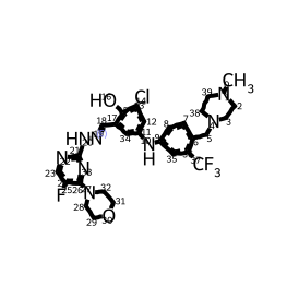 CN1CCN(Cc2ccc(Nc3cc(Cl)c(O)c(/C=N/Nc4ncc(F)c(N5CCOCC5)n4)c3)cc2C(F)(F)F)CC1